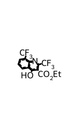 CCOC(=O)c1c(C(F)(F)F)nc2c(C(F)(F)F)cccc2c1O